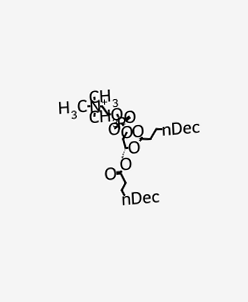 CCCCCCCCCCCCC(=O)OC[C@H](COP(=O)([O-])OCC[N+](C)(C)C)OC(=O)CCCCCCCCCCCC